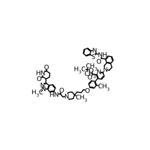 Cc1cc(OCCCC2(C)CCN(CC(=O)Nc3ccc4c(C5CCC(=O)NC5=O)nn(C)c4c3)CC2)ccc1-c1ccc(N2CCc3cccc(C(=O)Nc4nc5ccccc5s4)c3C2)nc1C(=O)OC(C)(C)C